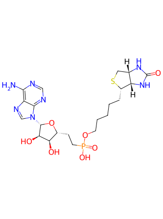 Nc1ncnc2c1ncn2[C@@H]1O[C@H](CCP(=O)(O)OCCCCC[C@@H]2SC[C@@H]3NC(=O)N[C@@H]32)[C@@H](O)[C@H]1O